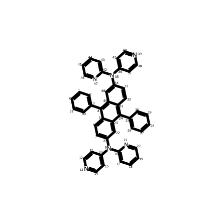 c1ccc(-c2c3ccc(N(c4ccncc4)c4ccccn4)cc3c(-c3ccccc3)c3ccc(N(c4ccncc4)c4ccccn4)cc23)cc1